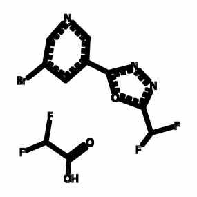 FC(F)c1nnc(-c2cncc(Br)c2)o1.O=C(O)C(F)F